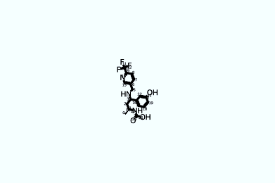 C[C@@H](CC(NCc1ccc(C(F)(F)F)nc1)c1cccc(O)c1)NC(=O)O